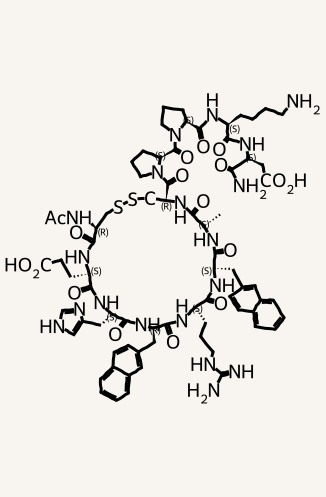 CC(=O)N[C@H]1CSSC[C@@H](C(=O)N2CCC[C@H]2C(=O)N2CCC[C@H]2C(=O)N[C@@H](CCCCN)C(=O)N[C@@H](CC(=O)O)C(N)=O)NC(=O)[C@H](C)NC(=O)[C@H](Cc2ccc3ccccc3c2)NC(=O)[C@H](CCCNC(=N)N)NC(=O)[C@@H](Cc2ccc3ccccc3c2)NC(=O)[C@H](Cc2c[nH]cn2)NC(=O)[C@H](CCC(=O)O)NC1=O